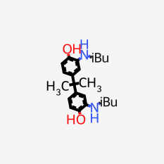 CCC(C)Nc1cc(C(C)(C)c2ccc(O)c(NC(C)CC)c2)ccc1O